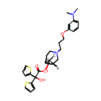 CN(C)c1cccc(OCCC[N+]23CCC(CC2)[C@@H](OC(=O)C(O)(c2cccs2)c2cccs2)C3)c1